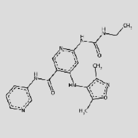 CCNC(=O)Nc1cc(Nc2c(C)noc2C)c(C(=O)Nc2cccnc2)cn1